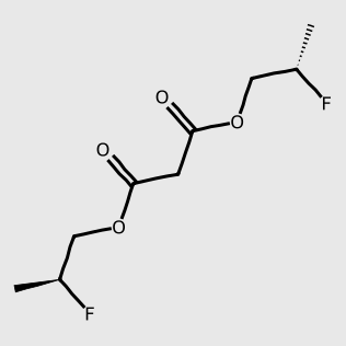 C[C@H](F)COC(=O)CC(=O)OC[C@H](C)F